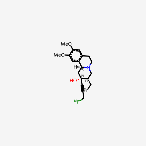 COc1cc2c(cc1OC)[C@H]1C[C@](O)(C#CC[18F])[C@H](CC(C)C)CN1CC2